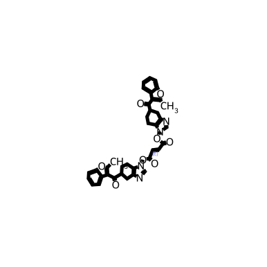 Cc1oc2ccccc2c1C(=O)C1CCc2c(ncn2OC(=O)/C=C/C(=O)On2cnc3c2CCC(C(=O)c2c(C)oc4ccccc24)C3)C1